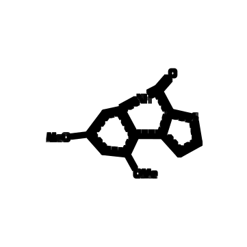 COc1cc(OC)c2c(c1)[nH]c(=O)c1sccc12